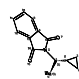 CC[C@H](C)[C@@H](C1CC1)N1C(=O)c2ccccc2C1=O